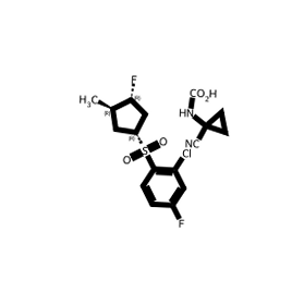 C[C@@H]1C[C@@H](S(=O)(=O)c2ccc(F)cc2Cl)C[C@H]1F.N#CC1(NC(=O)O)CC1